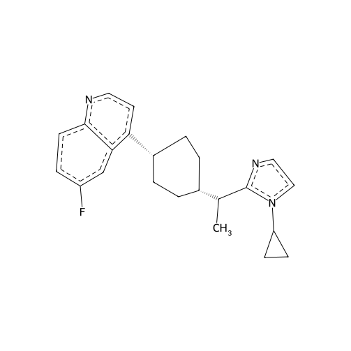 CC(c1nccn1C1CC1)[C@H]1CC[C@@H](c2ccnc3ccc(F)cc32)CC1